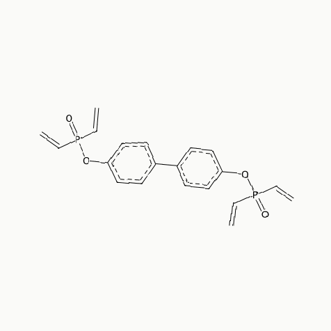 C=CP(=O)(C=C)Oc1ccc(-c2ccc(OP(=O)(C=C)C=C)cc2)cc1